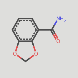 NC(=O)c1cccc2c1OCO2